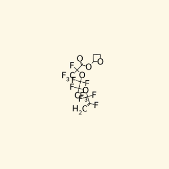 C=C(F)C(F)(F)OC(F)(C(F)(F)F)C(F)(F)OC(F)(C(=O)OC1CCO1)C(F)(F)F